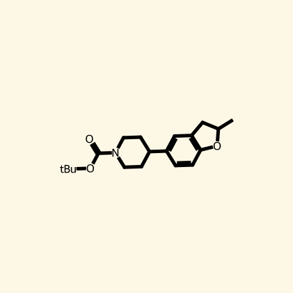 CC1Cc2cc(C3CCN(C(=O)OC(C)(C)C)CC3)ccc2O1